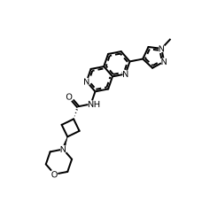 Cn1cc(-c2ccc3cnc(NC(=O)[C@H]4C[C@H](N5CCOCC5)C4)cc3n2)cn1